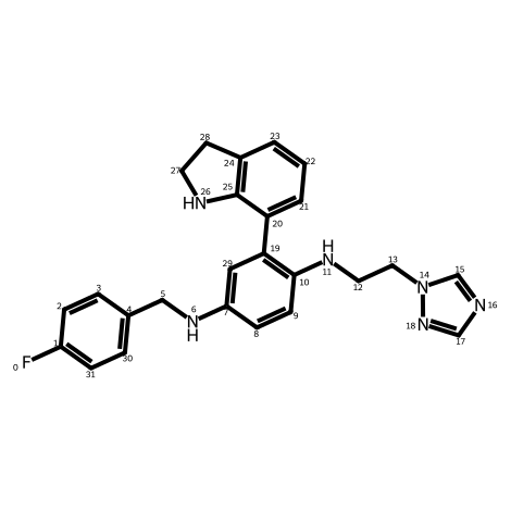 Fc1ccc(CNc2ccc(NCCn3cncn3)c(-c3cccc4c3NCC4)c2)cc1